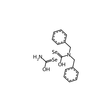 NC(O)=[Se].OC(=[Se])N(Cc1ccccc1)Cc1ccccc1